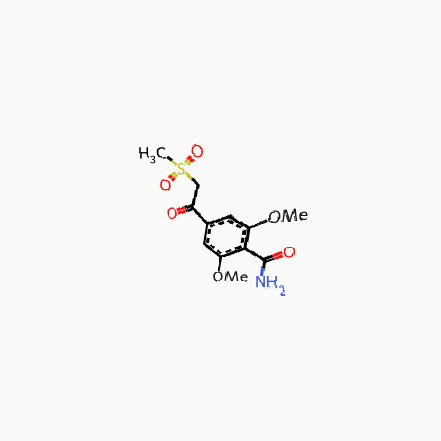 COc1cc(C(=O)CS(C)(=O)=O)cc(OC)c1C(N)=O